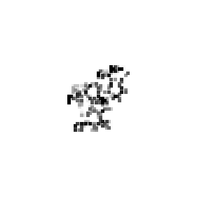 NC(=O)c1cccc2c1c1[c]cc(C(F)(F)F)cc1n2Cc1ccc(Cl)cc1Cl